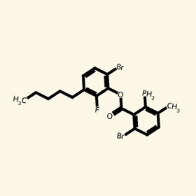 CCCCCc1ccc(Br)c(OC(=O)c2c(Br)ccc(C)c2P)c1F